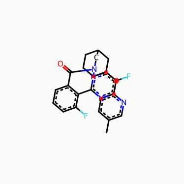 Cc1ccc(OC2CC3CCC2N(C(=O)c2cccc(F)c2-c2ncc(F)cn2)C3)nc1